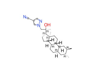 C[C@@H]1C[C@H]2CC[C@@H]3[C@H](CC[C@@]4(C)[C@H]3CC[C@@H]4[C@](C)(O)Cn3cc(C#N)cn3)[C@H]2C[C@H]1C